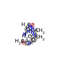 CCC1CN(c2nc(=O)n(C)c3ccc(C#N)nc23)[C@@H](CC)CN1C(C)c1ccc(CN2CCC(OC)CC2)cc1